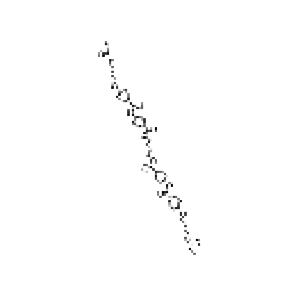 C=CC(=O)OCCCCOc1ccc(C(=O)Oc2ccc(C(=O)O/C(C)=C/C=C(\C)OC(=O)c3ccc(OC(=O)c4ccc(OCCCCOC(=O)C=C)cc4)cc3)cc2)cc1